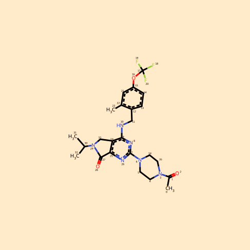 CC(=O)N1CCN(c2nc(NCc3ccc(OC(F)(F)F)cc3C)c3c(n2)C(=O)N(C(C)C)C3)CC1